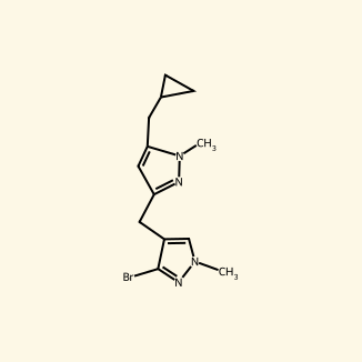 Cn1cc(Cc2cc(CC3CC3)n(C)n2)c(Br)n1